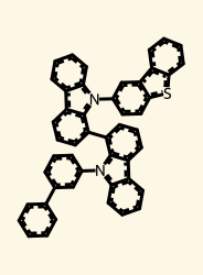 c1ccc(-c2cccc(-n3c4ccccc4c4cccc(-c5cccc6c7ccccc7n(-c7ccc8sc9ccccc9c8c7)c56)c43)c2)cc1